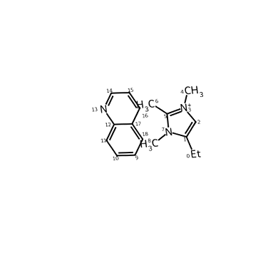 CCc1c[n+](C)c(C)n1C.c1ccc2ncccc2c1